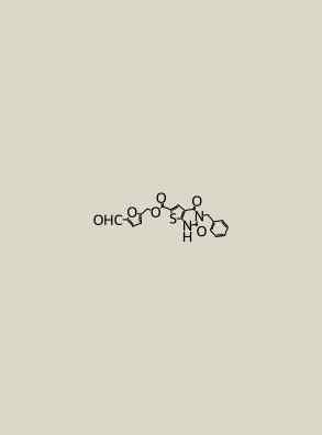 O=Cc1ccc(COC(=O)c2cc3c(=O)n(Cc4ccccc4)c(=O)[nH]c3s2)o1